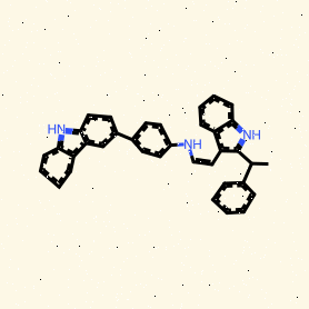 CC(c1ccccc1)c1[nH]c2ccccc2c1/C=C\Nc1ccc(-c2ccc3[nH]c4ccccc4c3c2)cc1